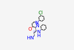 N=C/C=C(\Nc1ccccc1)c1nn(-c2cccc(Cl)c2)ccc1=O